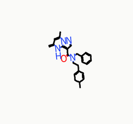 C=C1C=C(C)n2ncc(C(=O)N(CCC3=CCC(C)C=C3)Cc3ccccc3)c2N1